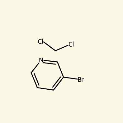 Brc1cccnc1.ClCCl